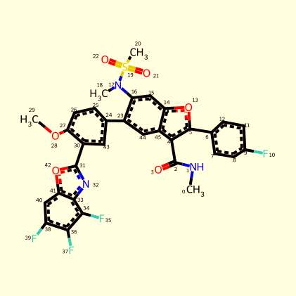 CNC(=O)c1c(-c2ccc(F)cc2)oc2cc(N(C)S(C)(=O)=O)c(-c3ccc(OC)c(-c4nc5c(F)c(F)c(F)cc5o4)c3)cc12